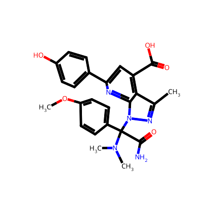 COc1ccc(C(C(N)=O)(N(C)C)n2nc(C)c3c(C(=O)O)cc(-c4ccc(O)cc4)nc32)cc1